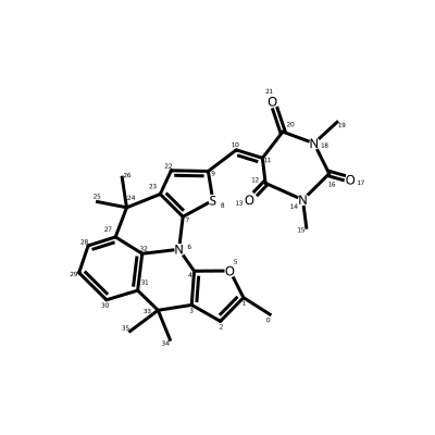 Cc1cc2c(o1)N1c3sc(C=C4C(=O)N(C)C(=O)N(C)C4=O)cc3C(C)(C)c3cccc(c31)C2(C)C